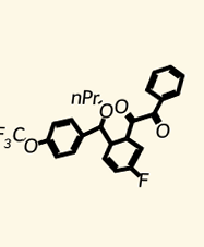 CCCOC(c1ccc(OC(F)(F)F)cc1)C1C=CC(F)=CC1C(=O)C(=O)c1ccccc1